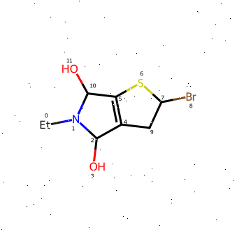 CCN1C(O)C2=C(SC(Br)C2)C1O